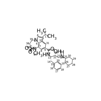 CC(C)c1cn2c3c(cc(C(=O)N[C@@H](Cc4ccccc4)[C@H](O)CNC4CCCCC4)cc13)N(C)S(=O)(=O)CC2